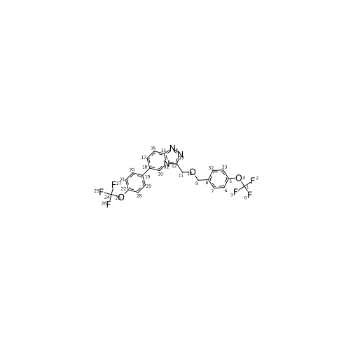 FC(F)(F)Oc1ccc(COCc2nnc3ccc(-c4ccc(OC(F)(F)F)cc4)cn23)cc1